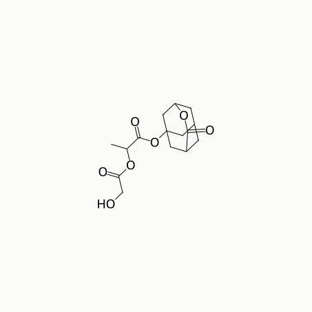 CC(OC(=O)CO)C(=O)OC12CC3CC(C1)OC(=O)C(C3)C2